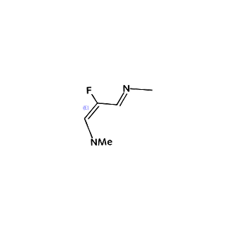 CN=C/C(F)=C\NC